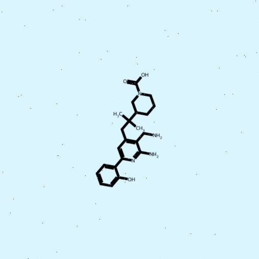 CC(C)(Cc1cc(-c2ccccc2O)nc(N)c1CN)C1CCCN(C(=O)O)C1